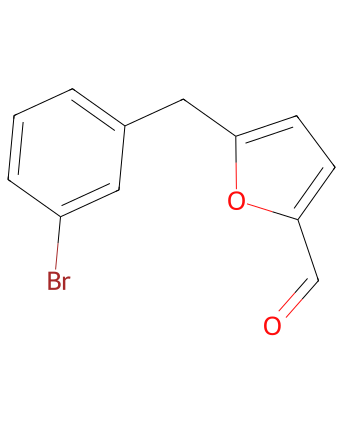 O=Cc1ccc(Cc2cccc(Br)c2)o1